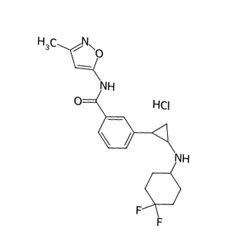 Cc1cc(NC(=O)c2cccc(C3CC3NC3CCC(F)(F)CC3)c2)on1.Cl